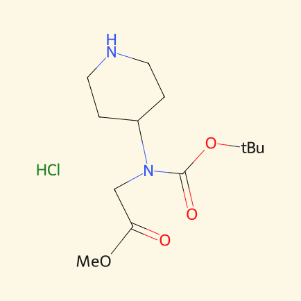 COC(=O)CN(C(=O)OC(C)(C)C)C1CCNCC1.Cl